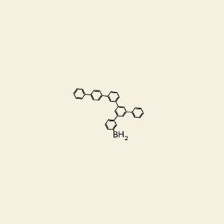 Bc1cccc(-c2cc(-c3ccccc3)cc(-c3cccc(-c4ccc(-c5ccccc5)cc4)c3)c2)c1